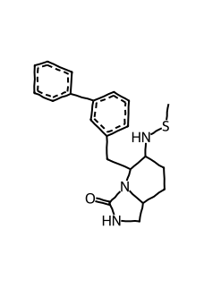 CSNC1CCC2CNC(=O)N2C1Cc1cccc(-c2ccccc2)c1